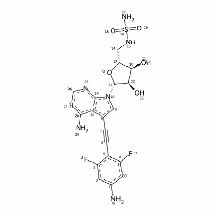 Nc1cc(F)c(C#Cc2cn([C@@H]3O[C@H](CNS(N)(=O)=O)[C@@H](O)[C@H]3O)c3ncnc(N)c23)c(F)c1